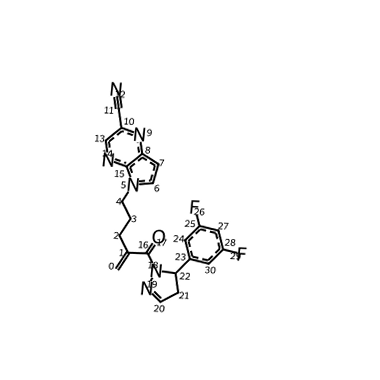 C=C(CCCn1ccc2nc(C#N)cnc21)C(=O)N1N=CCC1c1cc(F)cc(F)c1